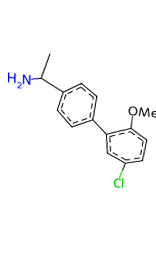 COc1ccc(Cl)cc1-c1ccc(C(C)N)cc1